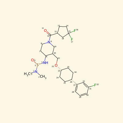 CN(C)[S+]([O-])NC1CCN(C(=O)C2CCC(F)(F)C2)CC1CO[C@H]1CC[C@@H](c2cccc(F)c2)CC1